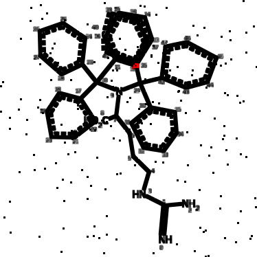 N=C(N)NCCCC(C(=O)O)N(C(c1ccccc1)(c1ccccc1)c1ccccc1)C(c1ccccc1)(c1ccccc1)c1ccccc1